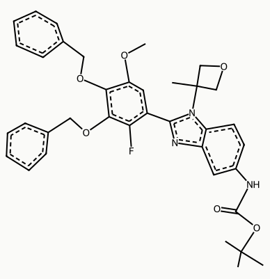 COc1cc(-c2nc3cc(NC(=O)OC(C)(C)C)ccc3n2C2(C)COC2)c(F)c(OCc2ccccc2)c1OCc1ccccc1